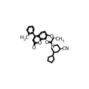 Cc1ccccc1-c1cc(=O)oc2cc(O[C@H](C)C(=O)N3CC(C4CCCC4)C[C@H](C#N)C3)ccc12